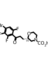 O=C(CC[C@H]1CN(C(=O)O)CCO1)c1c(F)cc(Br)c(F)c1F